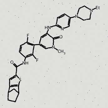 CCN1CCN(c2ccc(Nc3cc(-c4c(F)ccc(NC(=O)c5cc6c(s5)C5CCC6C5)c4F)cn(C)c3=O)nc2)CC1